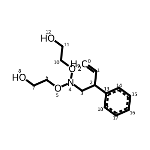 C=CC(CN(OCCO)OCCO)c1ccccc1